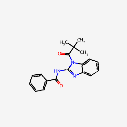 CC(C)(C)C(=O)n1c(NC(=O)c2ccccc2)nc2ccccc21